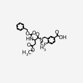 COC(=O)CC(NC(=O)OCc1ccccc1)C(=O)N(C)Cc1cc(C(=O)O)ccc1F